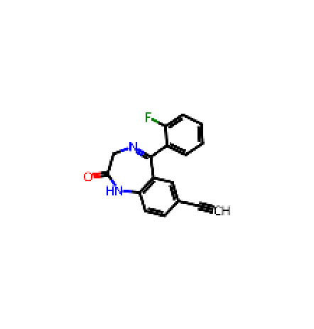 C#Cc1ccc2c(c1)C(c1ccccc1F)=NCC(=O)N2